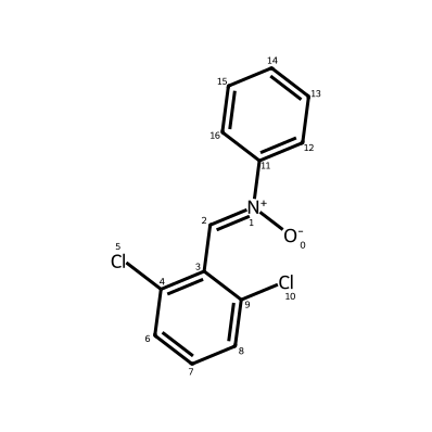 [O-][N+](=Cc1c(Cl)cccc1Cl)c1ccccc1